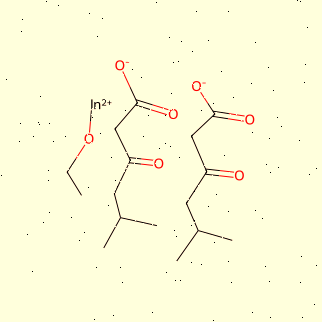 CC(C)CC(=O)CC(=O)[O-].CC(C)CC(=O)CC(=O)[O-].CC[O][In+2]